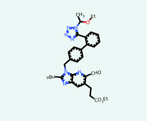 CCCCc1nc2cc(CCC(=O)OCC)c(C=O)nc2n1Cc1ccc(-c2ccccc2-c2nnnn2C(C)OCC)cc1